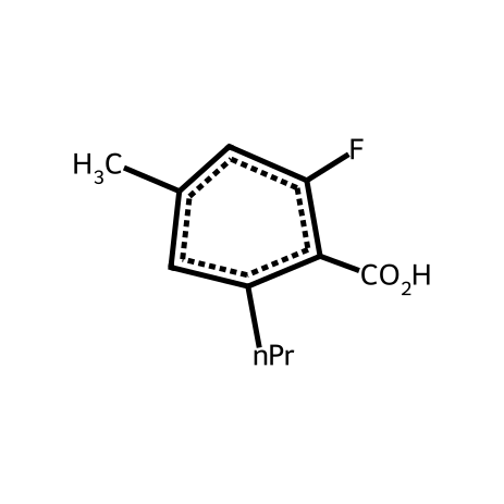 CCCc1cc(C)cc(F)c1C(=O)O